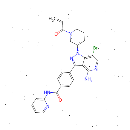 C=CC(=O)N1CCC[C@@H](n2nc(-c3ccc(C(=O)Nc4ccccn4)cc3)c3c(N)ncc(Br)c32)C1